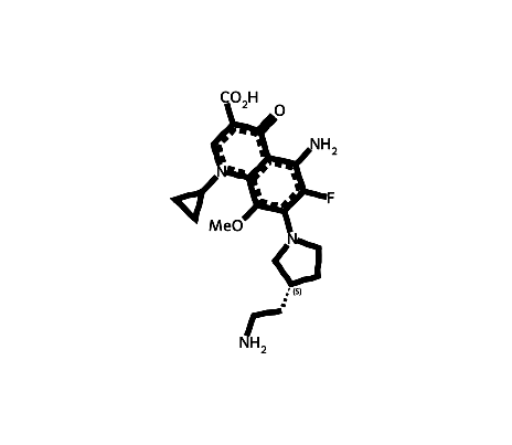 COc1c(N2CC[C@H](CCN)C2)c(F)c(N)c2c(=O)c(C(=O)O)cn(C3CC3)c12